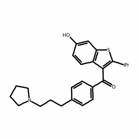 CC(C)c1sc2cc(O)ccc2c1C(=O)c1ccc(CCCN2CCCC2)cc1